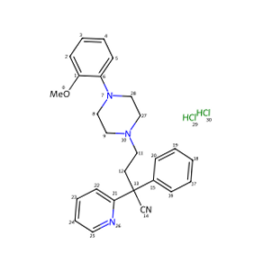 COc1ccccc1N1CCN(CCC(C#N)(c2ccccc2)c2ccccn2)CC1.Cl.Cl